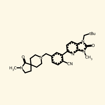 CN1CCC2(CCN(Cc3ccc(C#N)c(-c4ccc5c(n4)n(C)c(=O)n5CC(C)(C)C)c3)CC2)C1=O